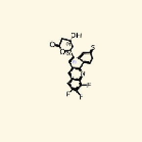 O=C1C[C@H](O)C[C@@H](/C=C/c2cc3cc(F)c(F)c(F)c3nc2C2=CCC(=S)C=C2)O1